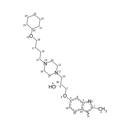 Cc1nc2cc(OC[C@H](O)CN3CCN(CCCCOC4CCCCC4)CC3)ccc2s1